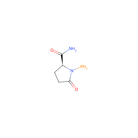 NC(=O)[C@@H]1CCC(=O)N1P